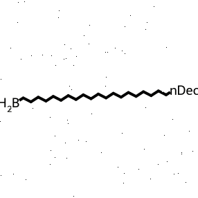 BCCCCCCCCCCCCCCCCCCCCCCCCCCCCCC